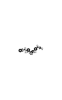 COC1CN(C(=O)c2ccc(-c3cc4c(-c5cccc(NC(=O)N6Cc7ccccc7C6)c5C)ncnc4[nH]3)cc2)C1